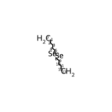 C=CCCCC[Se][Se]CCCCC=C